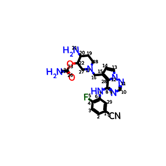 N#Cc1ccc(F)c(Nc2ncnn3ccc(CN4CCC(N)C(OC(N)=O)C4)c23)c1